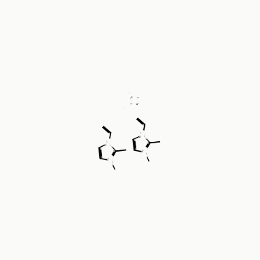 C=Cn1cc[n+](C)c1C.C=Cn1cc[n+](C)c1C.O=S(=O)([O-])[O-]